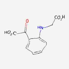 O=C(O)CNc1ccccc1C(=O)C(=O)O